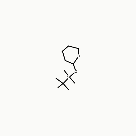 CC(C)(C)[Si](C)(C)OC1C[CH]CCO1